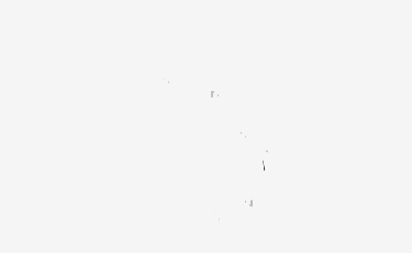 CNC(=O)C[C@@H]1CSC(c2cc3cccc(N(C)C4CCOCC4)c3[nH]2)=N1